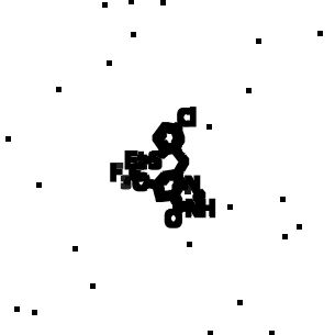 CCSc1ccc(Cl)cc1Cc1cc(OC(F)(F)F)cc2c(=O)[nH]cnc12